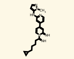 Cn1nccc1Nc1cc(-c2ccn(C(=N)CCCCC3CC3)c(=N)c2)ccn1